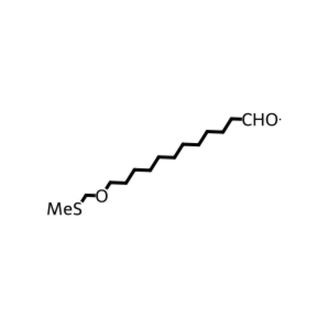 CSCOCCCCCCCCCCC[C]=O